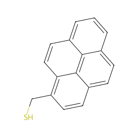 SCc1ccc2ccc3cccc4ccc1c2c34